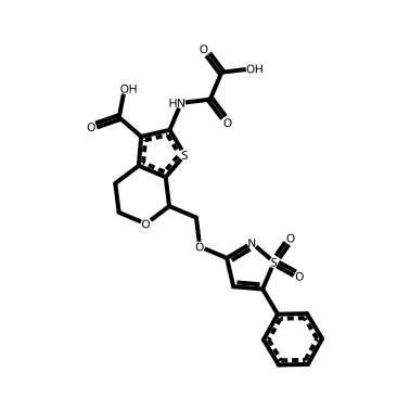 O=C(O)C(=O)Nc1sc2c(c1C(=O)O)CCOC2COC1=NS(=O)(=O)C(c2ccccc2)=C1